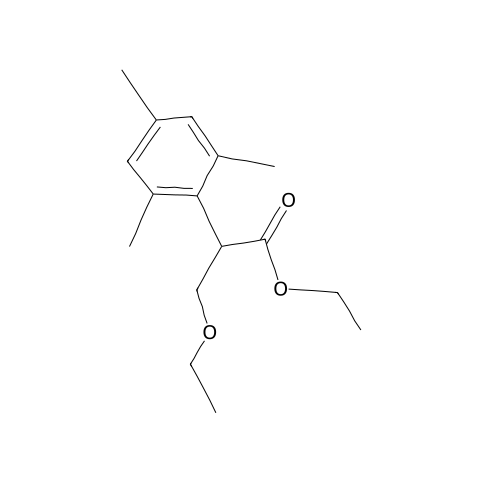 CCOCC(C(=O)OCC)c1c(C)cc(C)cc1C